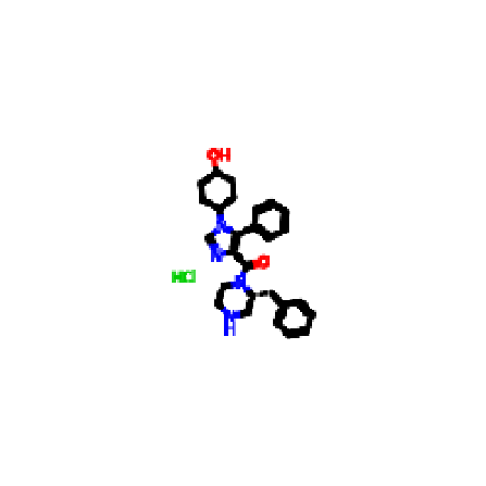 Cl.O=C(c1ncn(C2CCC(O)CC2)c1-c1ccccc1)N1CCNC[C@H]1Cc1ccccc1